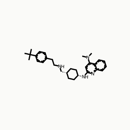 CN(C)c1cc(N[C@H]2CC[C@@H](CNCCc3ccc(C(C)(C)C)cc3)CC2)nc2ccccc12